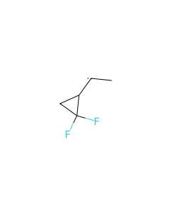 C[CH]C1CC1(F)F